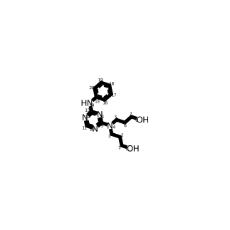 OCCCN(CCCO)c1ncnc(Nc2ccccc2)n1